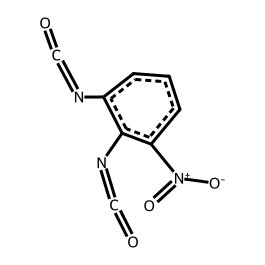 O=C=Nc1cccc([N+](=O)[O-])c1N=C=O